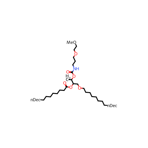 CCCCCCCCCCCCCCCCCCOCC(OC(=O)CCCCCCCCCCCCCCCCC)C(C)OC(=O)NCCCOCCOC